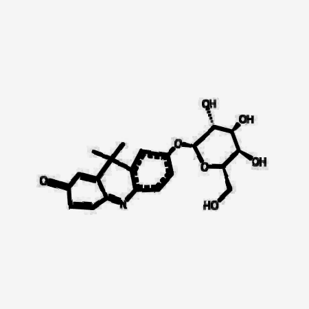 CC1(C)C2=CC(=O)C=CC2=Nc2ccc(O[C@@H]3O[C@H](CO)[C@H](O)[C@H](O)[C@H]3O)cc21